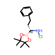 CC1(C)OB([C@H](CCc2ccccc2)NCl)OC1(C)C